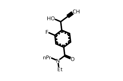 C#CC(O)c1ccc(C(=O)N(CC)CCC)cc1F